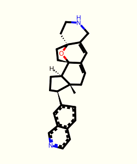 C[C@]12CC=C3C=C4CNCC[C@]45CC[C@]3(O5)[C@@H]1CC[C@@H]2c1ccc2ccncc2c1